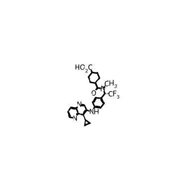 CN(C(=O)C1CCC(C(=O)O)CC1)[C@@H](c1ccc(Nc2cnc3cccnc3c2C2CC2)cc1)C(F)(F)F